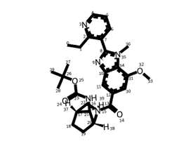 CCc1ncccc1-c1nc2cc(C(=O)N3C[C@H]4CC[C@@H]3[C@@H]4NC(=O)OC(C)(C)C)cc(OC)c2n1C